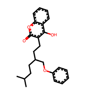 CC(C)CCC(CCc1c(O)c2ccccc2oc1=O)COc1ccccc1